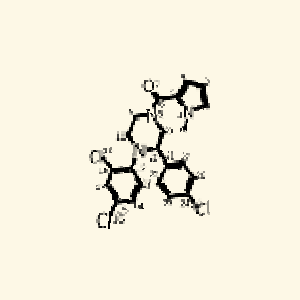 Cn1cccc1C(=O)N1CCN(c2ccc(Cl)cc2Cl)C(c2ccc(Cl)cc2)C1